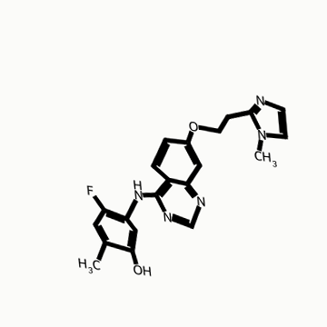 Cc1cc(F)c(Nc2ncnc3cc(OCCc4nccn4C)ccc23)cc1O